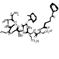 CCCCC(NC(=O)[C@H](CC(C)C)NC(=O)[C@@H](NC(=O)[C@H](Cc1ccccc1C)NC(=O)[C@H](CCC(=O)O)NC(=O)[C@H](CC(=O)O)NC(=O)CCCC(=O)c1ccccc1)C(C)(C)C)C(=O)C(N)=O